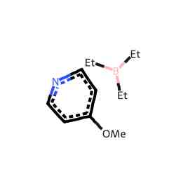 CCB(CC)CC.COc1ccncc1